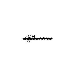 CCCCCCCCCCCCCCCCC(O)C(=O)OCCC